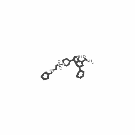 NC(=O)c1cc(-c2ccccc2)cc2c(C3CCN(S(=O)(=O)CCNCc4ccccc4)CC3)c[nH]c12